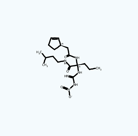 CCC[C@](NC(=N)N[N+](=O)[O-])(NC(=O)C[C@@H]1C=CCC1)C(=O)N[CH]CC(C)C